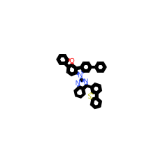 C1=c2nc(-n3c4cc(-c5ccccc5)ccc4c4c5oc6ccccc6c5ccc43)nc(-c3cccc4c3sc3ccccc34)c2=CCC1